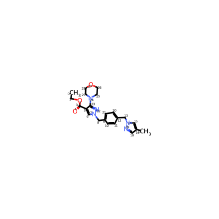 CCOC(=O)c1cn(Cc2ccc(Cn3cc(C)cn3)cc2)nc1N1CCOCC1